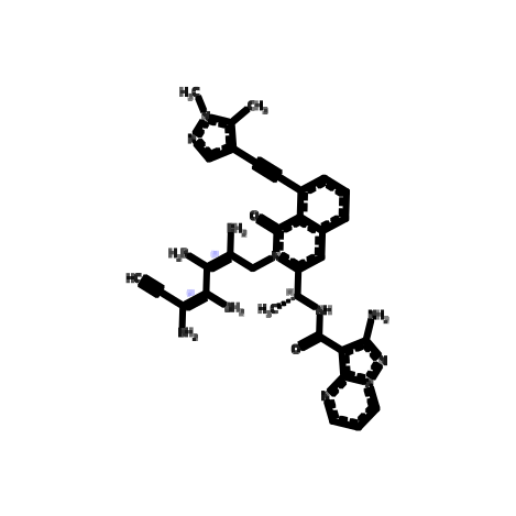 B/C(C#C)=C(B)/C(B)=C(/B)Cn1c([C@@H](C)NC(=O)c2c(N)nn3cccnc23)cc2cccc(C#Cc3cnn(C)c3C)c2c1=O